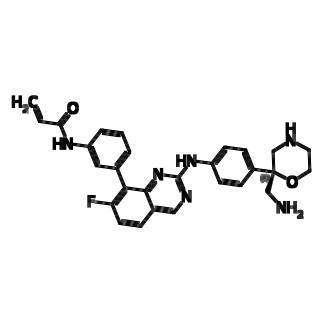 C=CC(=O)Nc1cccc(-c2c(F)ccc3cnc(Nc4ccc([C@]5(CN)CNCCO5)cc4)nc23)c1